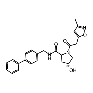 Cc1cc(CC(=O)N2C[C@H](O)CC2C(=O)NCc2ccc(-c3ccccc3)cc2)on1